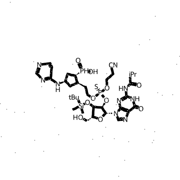 CC(C)C(=O)Nc1nc2c(ncn2[C@@H]2O[C@H](CO)C(O[Si](C)(C)C(C)(C)C)[C@H]2OP(=S)(OCCC#N)OCC[C@H]2C[C@@H](Nc3ccncn3)C[C@@H]2[PH](=O)O)c(=O)[nH]1